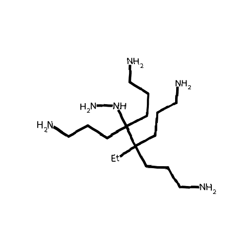 CCC(CCCN)(CCCN)C(CCCN)(CCCN)NN